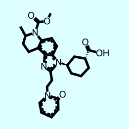 COC(=O)N1c2ccc3c(nc(CCn4ccccc4=O)n3[C@@H]3CCC[C@@H](C(=O)O)C3)c2CCC1C